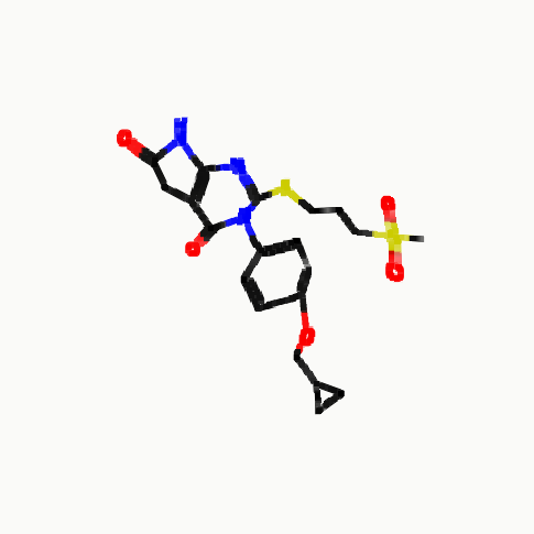 CS(=O)(=O)CCCSc1nc2c(c(=O)n1-c1ccc(OCC3CC3)cc1)CC(=O)N2